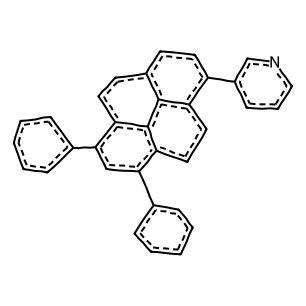 c1ccc(-c2cc(-c3ccccc3)c3ccc4c(-c5cccnc5)ccc5ccc2c3c54)cc1